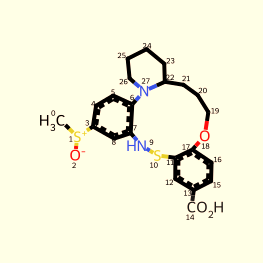 C[S+]([O-])c1ccc2c(c1)NSc1cc(C(=O)O)ccc1OCCCC1CCCCN21